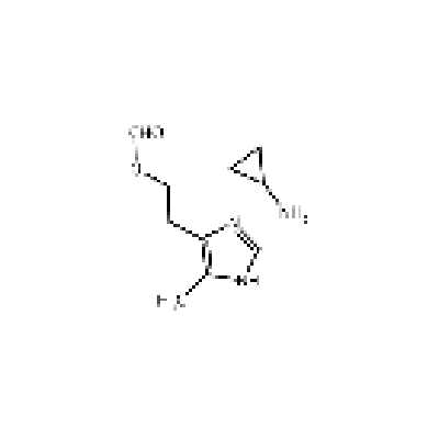 Cc1[nH]cnc1CCOC=O.NC1CC1